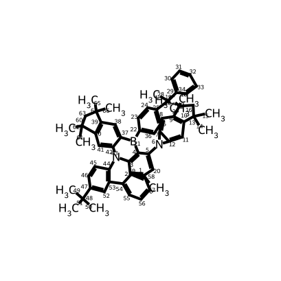 Cc1cc2c(c(N3c4cc5c(cc43)C(C)(C)CC5(C)C)c1)B(c1ccc(C(C)(C)c3ccccc3)cc1)c1cc3c(cc1N2c1ccc(C(C)(C)C)cc1-c1ccccc1)C(C)(C)CC3(C)C